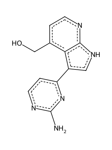 Nc1nccc(-c2c[nH]c3nccc(CO)c23)n1